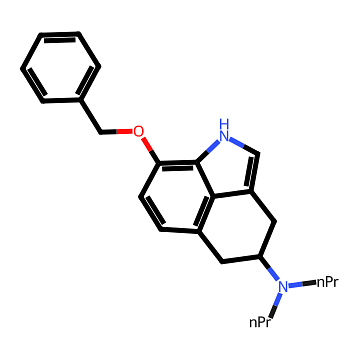 CCCN(CCC)C1Cc2ccc(OCc3ccccc3)c3[nH]cc(c23)C1